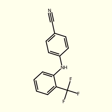 N#Cc1ccc(Nc2ccccc2C(F)(F)F)cc1